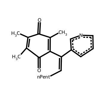 CCCCC/C=C(\C1=C(C)C(=O)C(C)=C(C)C1=O)c1cccnc1